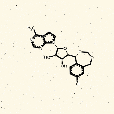 Cc1ncnc2c1ccn2[C@@H]1O[C@H]([C@@H]2OCOCc3cc(Cl)ccc32)[C@@H](O)[C@H]1O